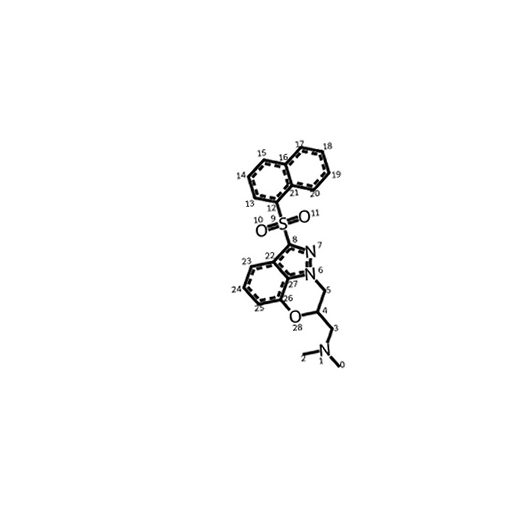 CN(C)CC1Cn2nc(S(=O)(=O)c3cccc4ccccc34)c3cccc(c32)O1